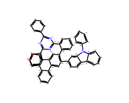 c1ccc(-c2nc(-c3ccccc3)nc(-c3ccccc3-c3cc4c5ccccc5c5ccccc5c4cc3-c3ccc4c5ccccc5n(-c5ccccc5)c4c3)n2)cc1